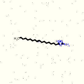 CCCCCCCC/C=C/CCCCCCCc1nc(N)n[nH]1